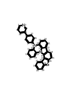 c1cncc(-c2ccc(N3c4ccccc4-n4c5c3cccc5c3ccc5sc6ccccc6c5c34)cc2)c1